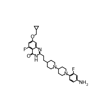 Nc1ccc(N2CCC(N3CCC(CCc4nc5cc(OCC6CC6)cc(F)c5c(=O)[nH]4)CC3)CC2)c(F)c1